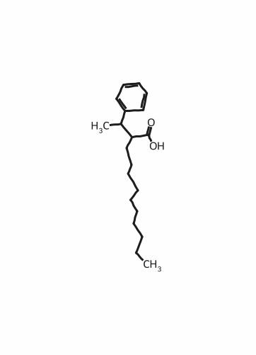 CCCCCCCCCCC(C(=O)O)C(C)c1ccccc1